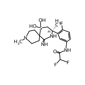 CN1CCC2(CC1)C(=N)N[C@](C)(c1cc(NC(=O)C(F)F)ccc1F)CS2(O)O